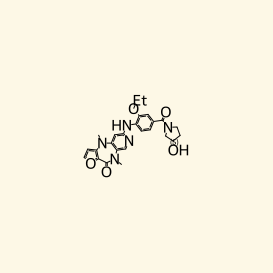 CCOc1cc(C(=O)N2CC[C@H](O)C2)ccc1Nc1cc2c(cn1)N(C)C(=O)c1occc1N2C